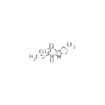 CC1(C)C[C@@H]1C(=O)Nc1nc2ccc(C(F)(F)F)cc2n1C1=CC=C1